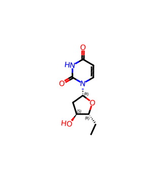 CC[C@H]1O[C@@H](n2ccc(=O)[nH]c2=O)C[C@@H]1O